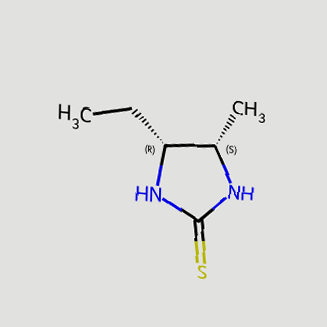 CC[C@H]1NC(=S)N[C@H]1C